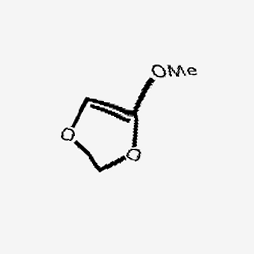 COC1=COCO1